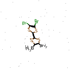 BC1=C(B)SC(=C2SC(Br)=C(Br)S2)S1